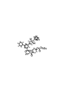 CCCCOC(=O)ON1CCN(C(=O)[C@@H](NC(=O)c2cc(N3C[C@@H]4[C@H](C3)[C@@H]4c3nnn[nH]3)nc(-c3ccccc3)n2)C(C)C)CC1